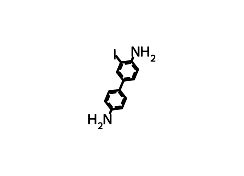 Nc1ccc(-c2ccc(N)c(I)c2)cc1